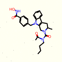 CCCCN(C(C)=O)C(=O)N1Cc2c(c3ccccc3n2Cc2ccc(C(=O)NO)cc2)CC1C